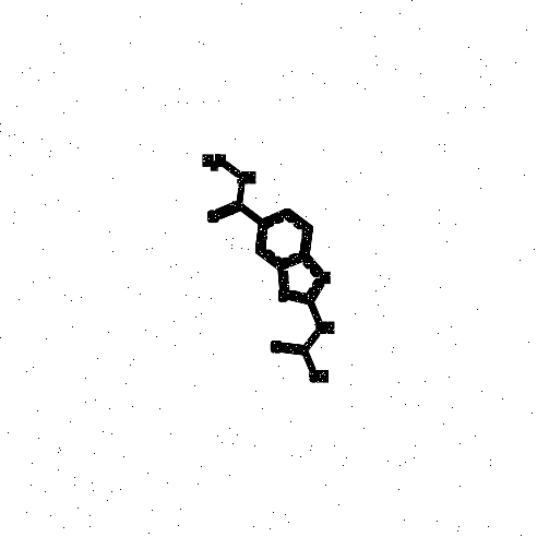 NNC(=O)c1ccc2nc(NC(=O)O)sc2c1